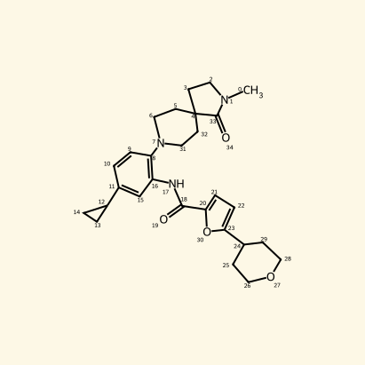 CN1CCC2(CCN(c3ccc(C4CC4)cc3NC(=O)c3ccc(C4CCOCC4)o3)CC2)C1=O